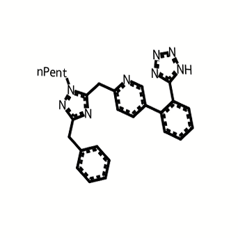 CCCCCn1nc(Cc2ccccc2)nc1Cc1ccc(-c2ccccc2-c2nnn[nH]2)cn1